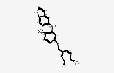 C=C/C=C\C(=C/CO)CCc1ccc(C(=O)O)c(Nc2ccc3sccc3c2)c1